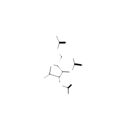 CC(=O)OC[C@@H]1OC(C)[C@H](OC(C)=O)C1OC(C)=O